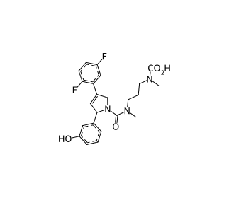 CN(CCCN(C)C(=O)N1CC(c2cc(F)ccc2F)=CC1c1cccc(O)c1)C(=O)O